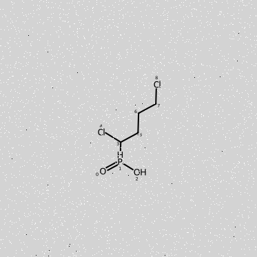 O=[PH](O)C(Cl)[CH]CCCl